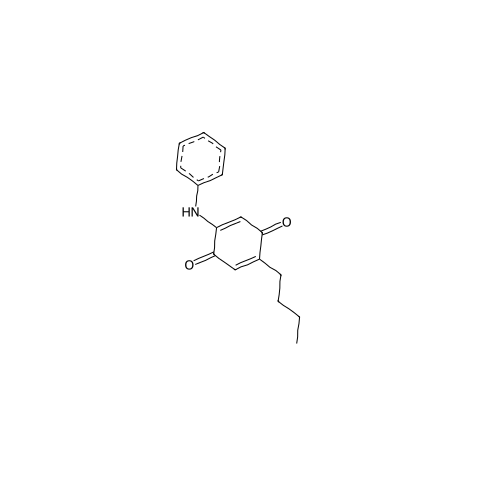 CCCCC1=CC(=O)C(Nc2ccccc2)=CC1=O